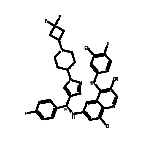 N#Cc1cnc2c(Cl)cc(N[C@@H](c3ccc(F)cc3)c3cn(C4CCN(C5CC(F)(F)C5)CC4)nn3)cc2c1Nc1ccc(F)c(Cl)c1